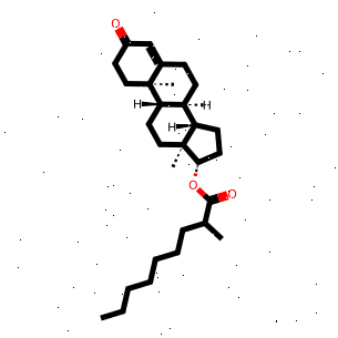 CCCCCCCC(C)C(=O)O[C@H]1CC[C@H]2[C@@H]3CCC4=CC(=O)CC[C@]4(C)[C@H]3CC[C@]12C